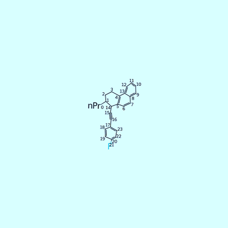 CCCC1CCc2c(ccc3ccccc23)C1C#Cc1ccc(F)cc1